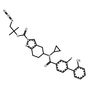 CC(C)(CN=[N+]=[N-])OC(=O)n1cc2c(n1)CCC(N(C(=O)c1ccc(-c3ccccc3C#N)c(F)c1)C1CC1)C2